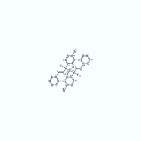 O=S(=O)(C(F)(C=Cc1ccccc1)c1ccc(Br)cc1)C(F)(C=Cc1ccccc1)c1ccc(Br)cc1